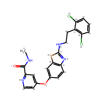 CNC(=O)c1cc(Oc2ccc3nc(NCCc4c(Cl)cccc4Cl)sc3c2)ccn1